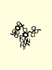 CCOC(=O)C(Cl)Cc1cc(-n2nc(C)n(C(F)F)c2=O)c(F)cc1Cl.CCS(=O)(=O)Oc1ccc2c(c1)C(C)(C)CO2